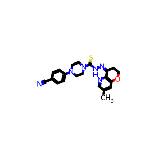 Cc1cnc2c(c1)OCC/C2=N/NC(=S)N1CCN(c2ccc(C#N)cc2)CC1